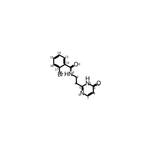 O=C(NCCc1nccc(=O)[nH]1)c1ccccc1Br